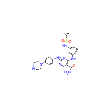 CN1CCN(c2ccc(Nc3ncc(C(N)=O)c(Nc4cccc(NS(=O)(=O)C5CC5)c4)n3)cc2)CC1